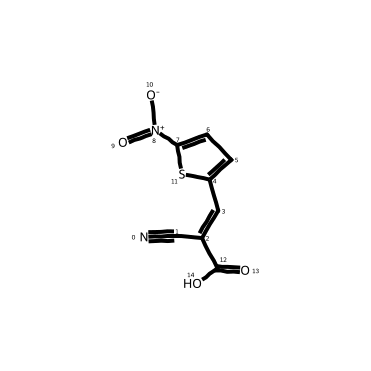 N#C/C(=C\c1ccc([N+](=O)[O-])s1)C(=O)O